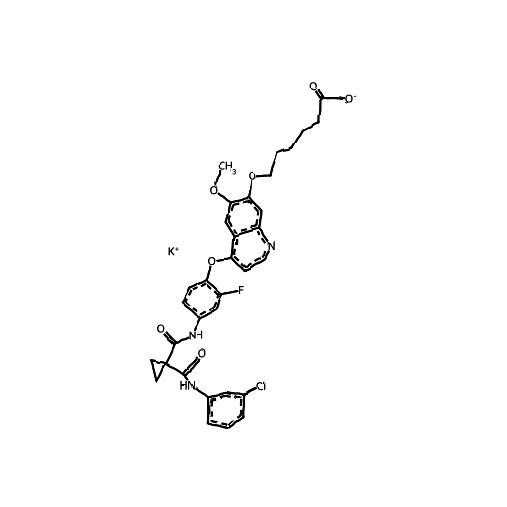 COc1cc2c(Oc3ccc(NC(=O)C4(C(=O)Nc5cccc(Cl)c5)CC4)cc3F)ccnc2cc1OCCCCCC(=O)[O-].[K+]